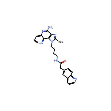 CCCCc1nc2c(N)nc3cccnc3c2n1CCCCNC(=O)Cc1ccc2ncccc2c1